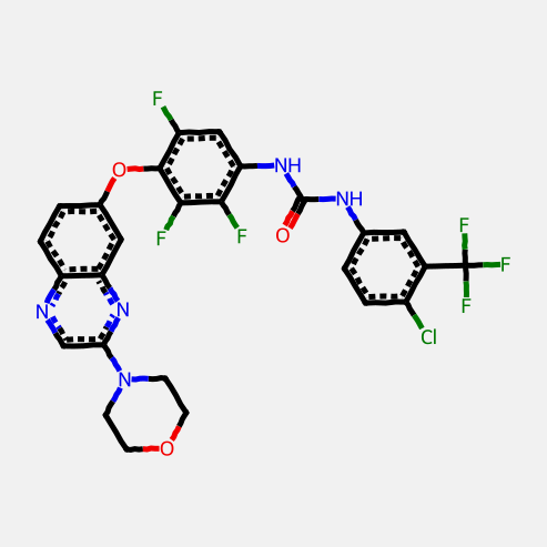 O=C(Nc1ccc(Cl)c(C(F)(F)F)c1)Nc1cc(F)c(Oc2ccc3ncc(N4CCOCC4)nc3c2)c(F)c1F